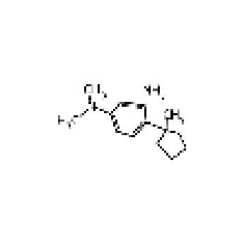 CN(C)c1ccc(C2(C)CCCC2)cc1.N